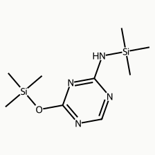 C[Si](C)(C)Nc1ncnc(O[Si](C)(C)C)n1